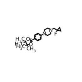 CC1(C)OB(c2ccc(N3CCN(CC4(F)CC4)CC3)cc2)OC1(C)C